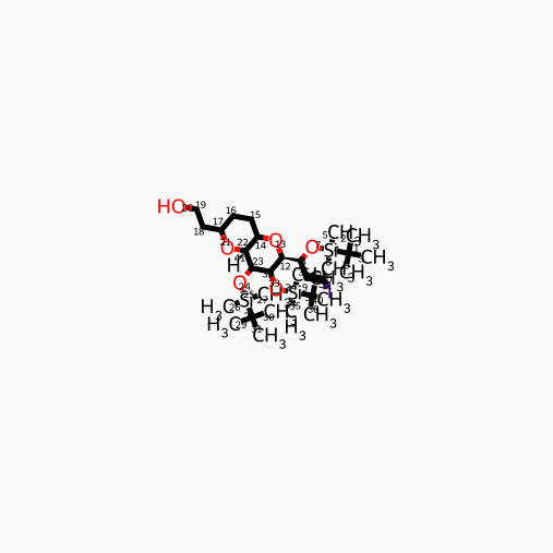 CC(C)(C)[Si](C)(C)OC(/C=C/I)[C@@H]1OC2CCC(CCO)O[C@@H]2C(O[Si](C)(C)C(C)(C)C)C1O[Si](C)(C)C(C)(C)C